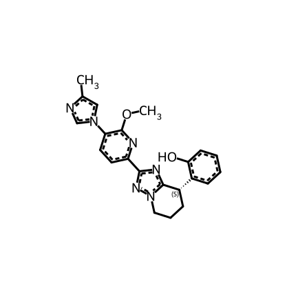 COc1nc(-c2nc3n(n2)CCC[C@H]3c2ccccc2O)ccc1-n1cnc(C)c1